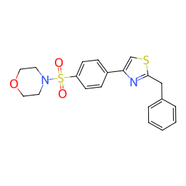 O=S(=O)(c1ccc(-c2csc(Cc3ccccc3)n2)cc1)N1CCOCC1